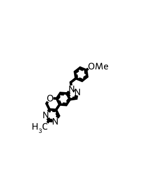 COc1ccc(Cn2ncc3cc4c(cc32)OCc2nc(C)ncc2-4)cc1